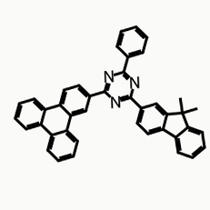 CC1(C)c2ccccc2-c2ccc(-c3nc(-c4ccccc4)nc(-c4ccc5c6ccccc6c6ccccc6c5c4)n3)cc21